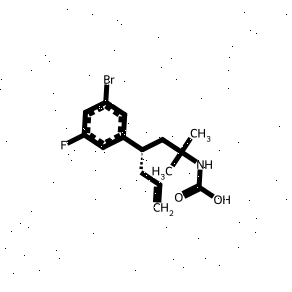 C=CC[C@@H](CC(C)(C)NC(=O)O)c1cc(F)cc(Br)c1